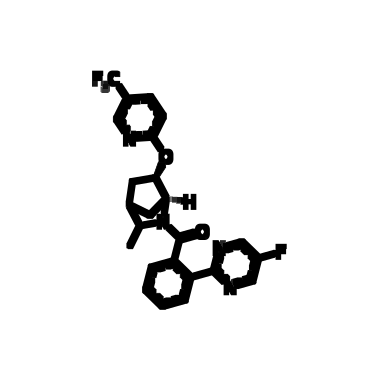 CC1C2C[C@@H](Oc3ccc(C(F)(F)F)cn3)[C@H](C2)N1C(=O)c1ccccc1-c1ncc(F)cn1